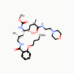 COCCCOc1ccccc1C(=O)NC[C@@H](C[C@H](NC(=O)OC(C)(C)C)[C@@H](O)C[C@@H](C)C(=O)NCCN1CCOCC1)C(C)C